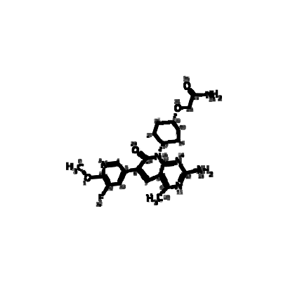 COc1ncc(-c2cc3c(C)nc(N)nc3n([C@H]3CC[C@@H](OCC(N)=O)CC3)c2=O)cc1F